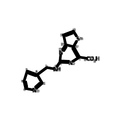 O=C(O)c1nc(NCc2cccnc2)nc2ccsc12